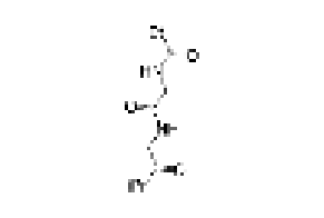 CCC(=O)NCC(=O)NCC(=O)C(C)C